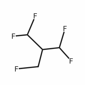 FCC(C(F)F)C(F)F